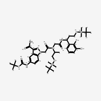 CC(CO[Si](C)(C)C(C)(C)C)N(CC(=O)NC(CCO[Si](C)(C)C(C)(C)C)c1cccc(Cl)c1F)C(=O)Cn1nc(C(N)=O)c2cc(NC(=O)OC(C)(C)C)ccc21